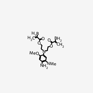 BC(=C)C(=O)OCCN(CCOC(=O)C(B)=C)c1cc(NC)c(N)cc1OC